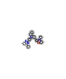 CN1c2ccccc2C(c2ccccc2)=NC1c1ccc(-n2c3cc(-c4ccc5c(c4)N(c4ccccc4)c4ccccc4O5)ccc3c3c4ccccc4ccc32)cc1